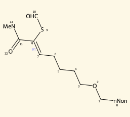 CCCCCCCCCCOCCCC/C=C(\SC=O)C(=O)NC